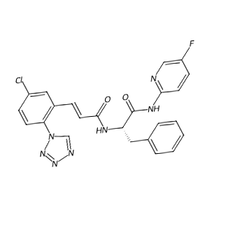 O=C(C=Cc1cc(Cl)ccc1-n1cnnn1)N[C@@H](Cc1ccccc1)C(=O)Nc1ccc(F)cn1